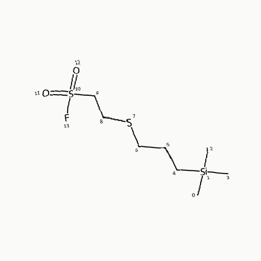 C[Si](C)(C)CCCSCCS(=O)(=O)F